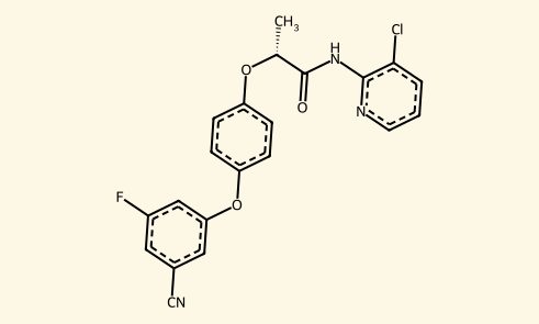 C[C@@H](Oc1ccc(Oc2cc(F)cc(C#N)c2)cc1)C(=O)Nc1ncccc1Cl